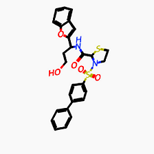 O=C(NC(CCO)c1cc2ccccc2o1)C1SCCN1S(=O)(=O)c1ccc(-c2ccccc2)cc1